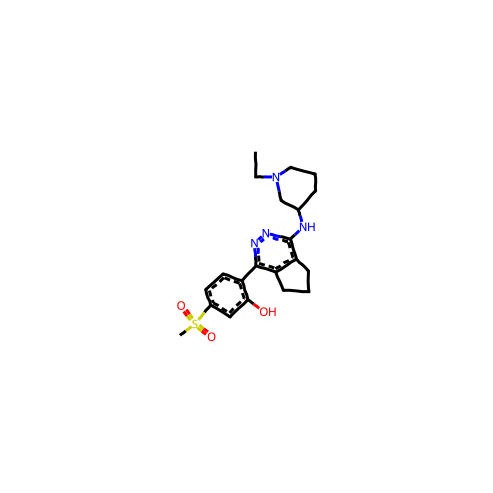 CCN1CCCC(Nc2nnc(-c3ccc(S(C)(=O)=O)cc3O)c3c2CCC3)C1